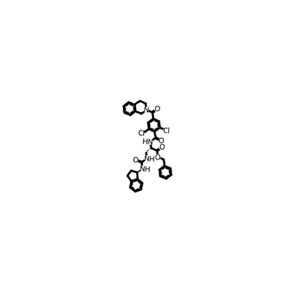 O=C(NC[C@H](NC(=O)c1c(Cl)cc(C(=O)N2CCc3ccccc3C2)cc1Cl)C(=O)OCc1ccccc1)N[C@@H]1CCc2ccccc21